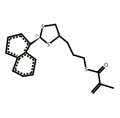 C=C(C)C(=O)SCCCC1CS[C@H](c2cccc3ccccc23)S1